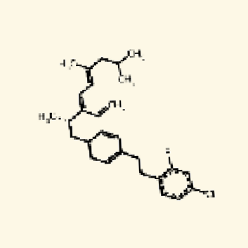 C=C/C(=C\C=C(/C)CC(C)C)[C@@H](C)CC1C=CC(CCc2ccc(Cl)cc2F)=CC1